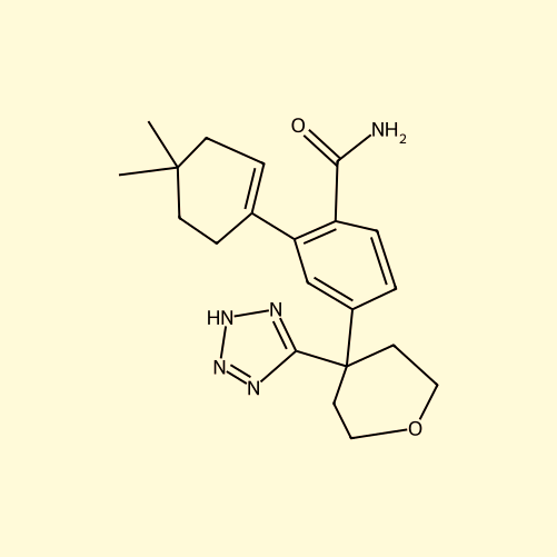 CC1(C)CC=C(c2cc(C3(c4nn[nH]n4)CCOCC3)ccc2C(N)=O)CC1